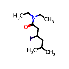 CCN(CC)C(=O)CC(I)CC(C)C